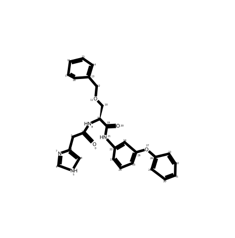 O=C(Cc1c[nH]cn1)N[C@@H](COCc1ccccc1)C(=O)Nc1cccc(Oc2ccccc2)c1